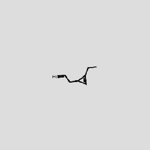 N=CCC1C=C1CI